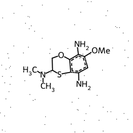 COc1cc(N)c2c(c1N)OCC(N(C)C)S2